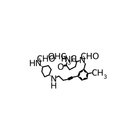 Cc1ccc(C#CCCN[C@H]2CC[C@@H](NC=O)CC2)cc1CN(C=O)C(C)CCC(=O)NC=O